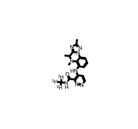 [2H]C([2H])([2H])NC(=O)c1nnccc1Nc1cccc2c1N(C)C(C)c1nc(C)nn1-2